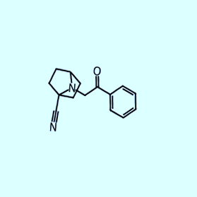 N#CC12CCC(CC1)N2CC(=O)c1ccccc1